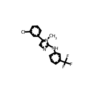 Cn1c(-c2cccc(Cl)c2)cnc1Nc1cccc(C(F)(F)F)c1